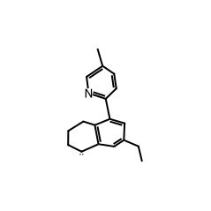 CCc1cc2c(c(-c3ccc(C)cn3)c1)CCC[C]2